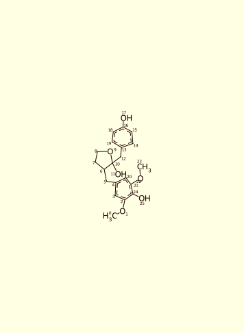 COc1cc(CC2CCOC2(O)Cc2ccc(O)cc2)cc(OC)c1O